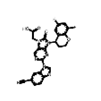 N#Cc1ccc2ncn(-c3ncc4c(n3)n(C3CCOc5c(F)cc(F)cc53)c(=O)n4CC(=O)O)c2c1